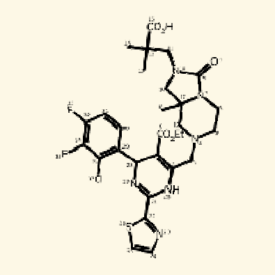 CCOC(=O)C1=C(CN2CCN3C(=O)N(CC(C)(C)C(=O)O)CC3(C)C2)NC(c2nccs2)=NC1c1ccc(F)c(F)c1Cl